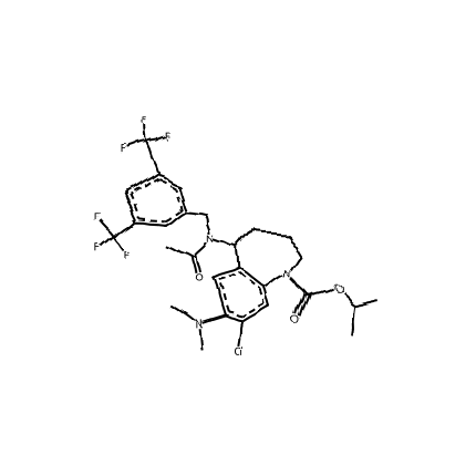 CC(=O)N(Cc1cc(C(F)(F)F)cc(C(F)(F)F)c1)C1CCCN(C(=O)OC(C)C)c2cc(Cl)c(N(C)C)cc21